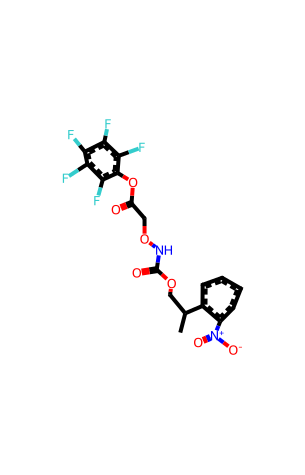 CC(COC(=O)NOCC(=O)Oc1c(F)c(F)c(F)c(F)c1F)c1ccccc1[N+](=O)[O-]